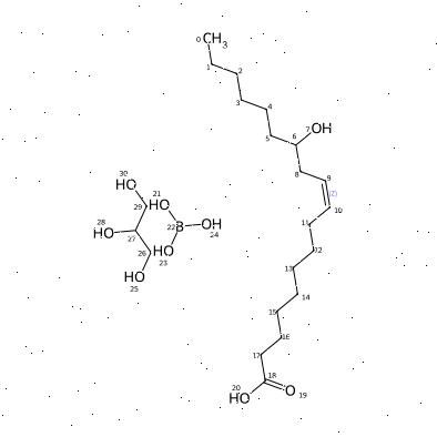 CCCCCCC(O)C/C=C\CCCCCCCC(=O)O.OB(O)O.OCC(O)CO